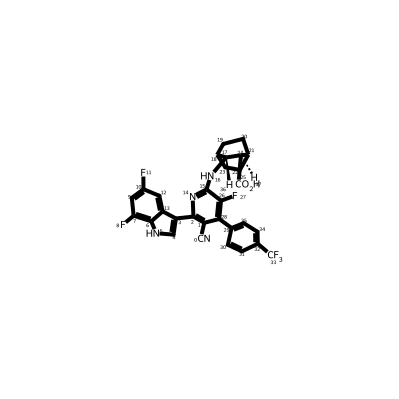 N#Cc1c(-c2c[nH]c3c(F)cc(F)cc23)nc(N[C@@H]2C3CCC(CC3)[C@H]2C(=O)O)c(F)c1-c1ccc(C(F)(F)F)cc1